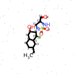 CCC1CCC2CC(O)C(N3CC(C=O)NS3(=O)=O)C(F)C2C1